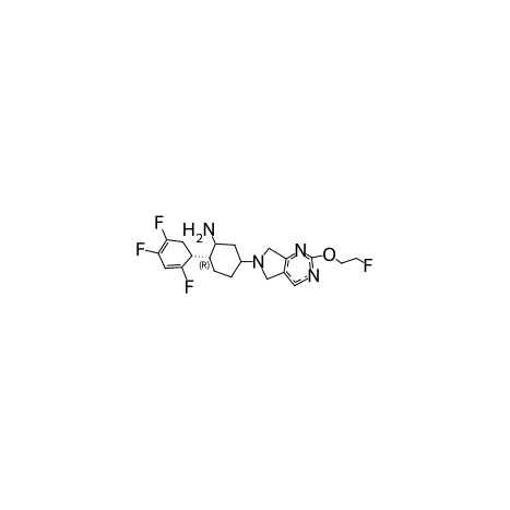 NC1CC(N2Cc3cnc(OCCF)nc3C2)CC[C@@H]1C1CC(F)=C(F)C=C1F